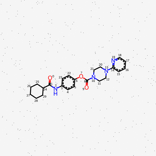 O=C(Nc1ccc(OC(=O)N2CCN(c3ccccn3)CC2)cc1)C1CCCCC1